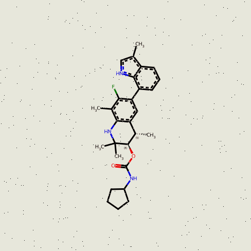 Cc1c(F)c(-c2cccc3c(C)c[nH]c23)cc2c1NC(C)(C)[C@H](OC(=O)NC1CCCC1)[C@H]2C